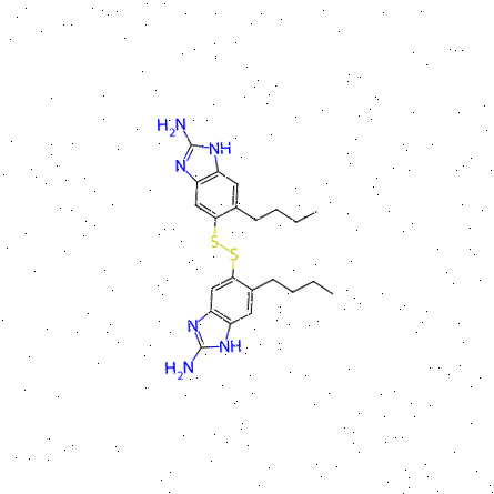 CCCCc1cc2[nH]c(N)nc2cc1SSc1cc2nc(N)[nH]c2cc1CCCC